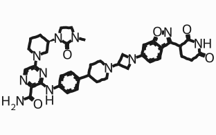 CN1CCN([C@@H]2CCCN(c3cnc(C(N)=O)c(Nc4ccc(C5CCN(C6CN(c7ccc8c(C9CCC(=O)NC9=O)noc8c7)C6)CC5)cc4)n3)C2)C1=O